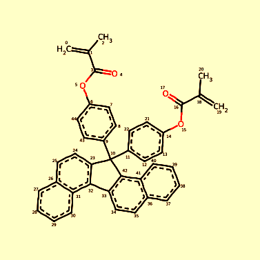 C=C(C)C(=O)Oc1ccc(C2(c3ccc(OC(=O)C(=C)C)cc3)c3ccc4ccccc4c3-c3ccc4ccccc4c32)cc1